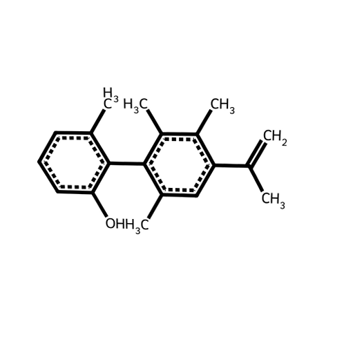 C=C(C)c1cc(C)c(-c2c(C)cccc2O)c(C)c1C